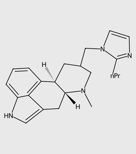 CCCc1nccn1CC1C[C@@H]2c3cccc4[nH]cc(c34)C[C@H]2N(C)C1